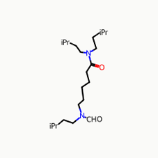 CC(C)CCN(C=O)CCCCCC(=O)N(CCC(C)C)CCC(C)C